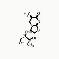 C=C1CN2C(=NC1=O)OC[C@@H]2O[C@@H](CO)[C@@H](C)O